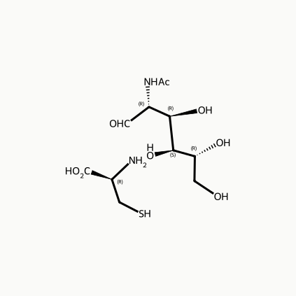 CC(=O)N[C@@H](C=O)[C@@H](O)[C@H](O)[C@H](O)CO.N[C@@H](CS)C(=O)O